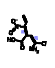 C=C/C(=C(\C=C(/N)Cl)C(=O)O)[N+](=O)[O-]